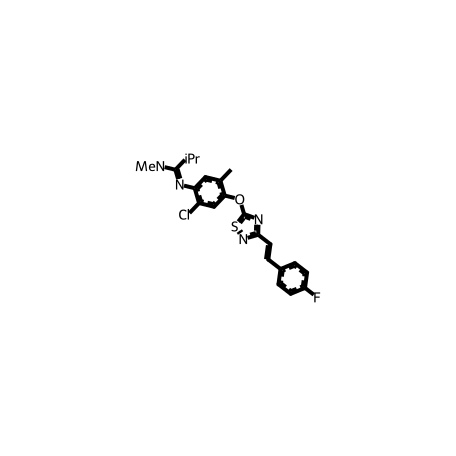 CNC(=Nc1cc(C)c(Oc2nc(/C=C/c3ccc(F)cc3)ns2)cc1Cl)C(C)C